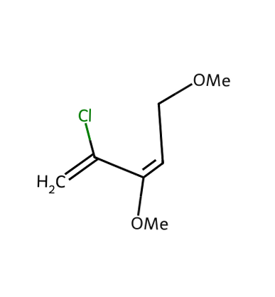 C=C(Cl)/C(=C\COC)OC